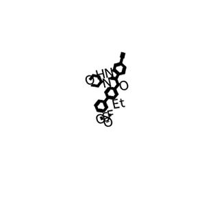 C#Cc1ccc2c(c1)[nH]c1c2c(=O)c2cc(CC)c(-c3cccc(S(=O)(=O)F)c3)cc2n1C1CCOCC1